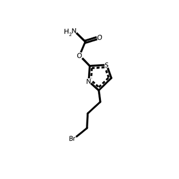 NC(=O)Oc1nc(CCCBr)cs1